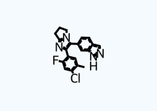 Cc1cc(-c2nc3n(c2-c2ccc4cn[nH]c4c2)CCC3)c(F)cc1Cl